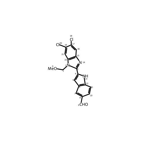 COCn1c(-c2cc3cc(C=O)ccc3[nH]2)nc2cc(Cl)c(Cl)cc21